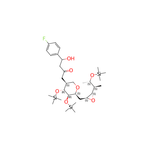 C[C@@H]([C@@H]1O[C@H]1C[C@@H]1OC[C@H](CC(=O)CC(O)c2ccc(F)cc2)[C@@H](O[Si](C)(C)C)[C@@H]1O[Si](C)(C)C)[C@H](C)O[Si](C)(C)C